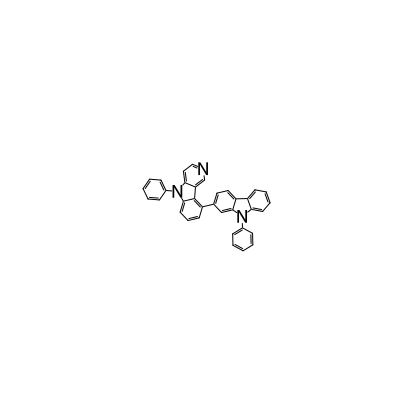 c1ccc(-n2c3ccccc3c3ccc(-c4cccc5c4c4cnccc4n5-c4ccccc4)cc32)cc1